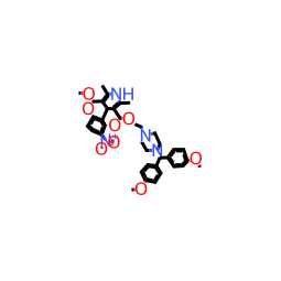 COC(=O)C1=C(C)NC(C)=C(C(=O)OCCN2CCN(C(c3ccc(OC)cc3)c3ccc(OC)cc3)CC2)C1c1cccc([N+](=O)[O-])c1